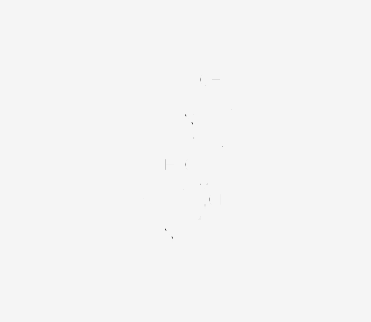 Cc1ccc(CC(C)(C)c2cccnc2)cn1